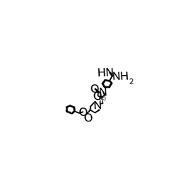 N=C(N)c1ccc(N2C[C@@H](CN3CCC(C(=O)OCc4ccccc4)CC3)OC2=O)cc1